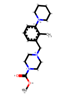 Cc1c(CN2CCN(C(=O)OC(C)(C)C)CC2)cccc1N1CCCCC1